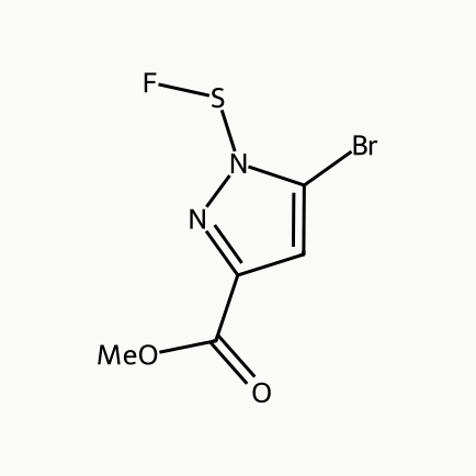 COC(=O)c1cc(Br)n(SF)n1